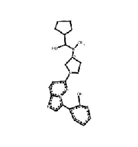 CN(C(O)C1CCCC1)[C@H]1CCN(c2ccc3ncc(-c4cccnc4O)n3n2)C1